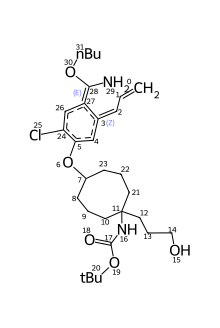 C=C/C=c1/cc(OC2CCCC(CCCO)(NC(=O)OC(C)(C)C)CCC2)c(Cl)c/c1=C(/N)OCCCC